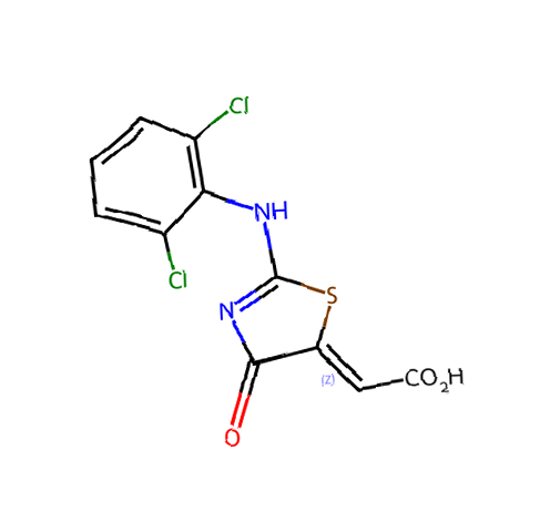 O=C(O)/C=C1\SC(Nc2c(Cl)cccc2Cl)=NC1=O